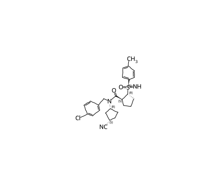 Cc1ccc([S@](=N)(=O)[C@@H]2CCC[C@H]2C(=O)N(Cc2ccc(Cl)cc2)[C@@H]2CC[C@H](C#N)C2)cc1